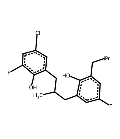 CC(C)Cc1cc(F)cc(CC(C)Cc2cc(Cl)cc(F)c2O)c1O